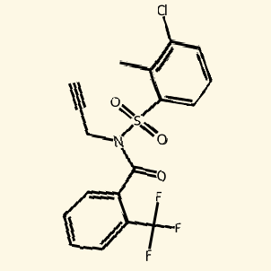 C#CCN(C(=O)c1ccccc1C(F)(F)F)S(=O)(=O)c1cccc(Cl)c1C